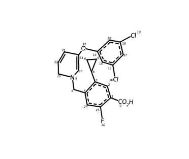 O=C(O)c1cc(C2CC2)c(CN2C=C(Oc3cc(Cl)cc(Cl)c3)C=CC2)cc1F